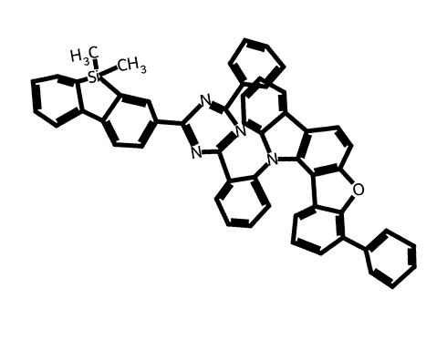 C[Si]1(C)c2ccccc2-c2ccc(-c3nc(-c4ccccc4)nc(-c4ccccc4-n4c5ccccc5c5ccc6oc7c(-c8ccccc8)cccc7c6c54)n3)cc21